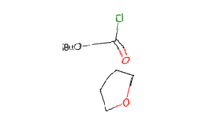 C1CCOC1.CC(C)COC(=O)Cl